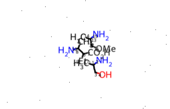 CC(N)CO.CCC(C(=O)O)C(C)N.COCC(C)N